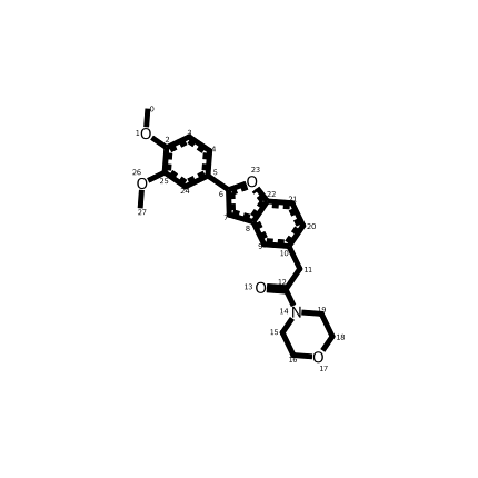 COc1ccc(-c2cc3cc(CC(=O)N4CCOCC4)ccc3o2)cc1OC